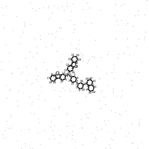 c1cc(-c2ccc(N(c3ccc4c(c3)oc3ccccc34)c3ccc4c(c3)sc3ccccc34)cc2)cc(-c2cccc3ccccc23)c1